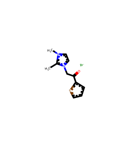 Cc1n(CC(=O)c2cccs2)cc[n+]1C.[Br-]